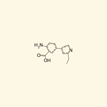 CCc1cc(-c2ccc(N)c(C(=O)O)c2)ccn1